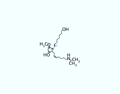 CO[C@@H]1C[C@H](O)C(C/C=C\CCCCNC(C)C)[C@H]1/C=C/CCCCCCO